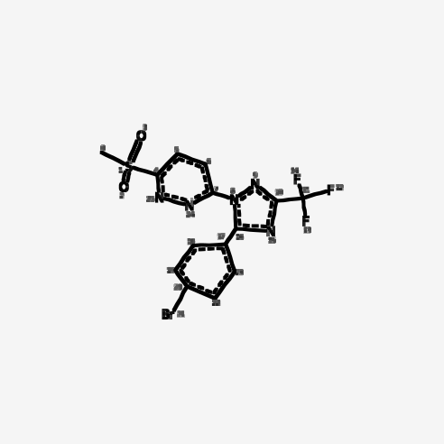 CS(=O)(=O)c1ccc(-n2nc(C(F)(F)F)nc2-c2ccc(Br)cc2)nn1